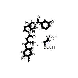 N[C@@H](CC(=O)N1CC[C@H]2CN(C(=O)c3cccc(F)c3)C[C@H]21)Cc1cc(F)c(F)cc1F.O=C(O)/C=C/C(=O)O